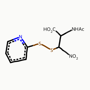 CC(=O)NC(C(=O)O)C(SSc1ccccn1)[N+](=O)[O-]